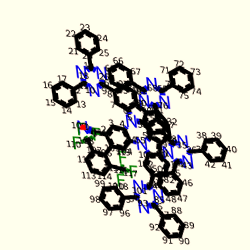 N#Cc1cc(-n2c3cc(-c4nc(-c5ccccc5)nc(-c5ccccc5)n4)ccc3c3ccc(-c4nc(-c5ccccc5)nc(-c5ccccc5)n4)cc32)c(-n2c3cc(-c4nc(-c5ccccc5)nc(-c5ccccc5)n4)ccc3c3ccc(-c4nc(-c5ccccc5)nc(-c5ccccc5)n4)cc32)cc1-c1c(C(F)(F)F)cccc1C(F)(F)F